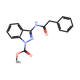 CC(C)(C)OC(=O)n1nc(NC(=O)Cc2ccccc2)c2ccccc21